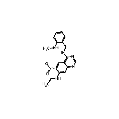 CCNc1cc2ncnc(NCc3ccccc3NC)c2cc1[N+](=O)[O-]